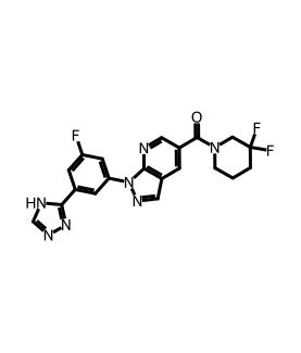 O=C(c1cnc2c(cnn2-c2cc(F)cc(-c3nnc[nH]3)c2)c1)N1CCCC(F)(F)C1